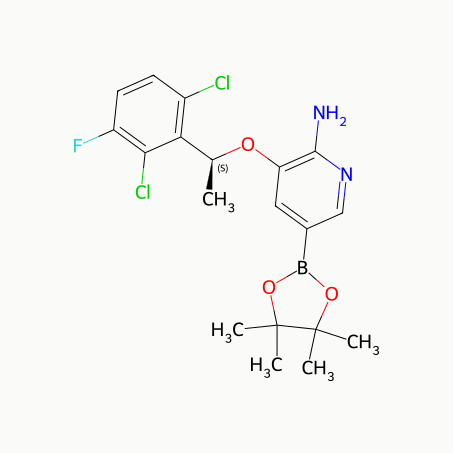 C[C@H](Oc1cc(B2OC(C)(C)C(C)(C)O2)cnc1N)c1c(Cl)ccc(F)c1Cl